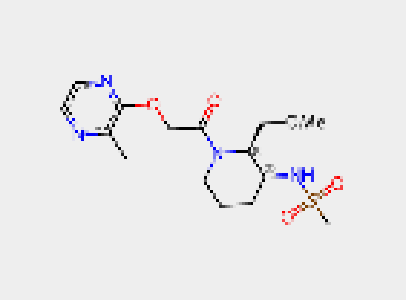 COC[C@H]1[C@@H](NS(C)(=O)=O)CCCN1C(=O)COc1nccnc1C